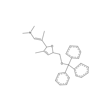 CC1=CC(COC(c2ccccc2)(c2ccccc2)c2ccccc2)OC1C(C)=CN(C)C